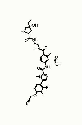 CC[C@]1(O)CN[C@@H](C(=O)NCCNC(=O)c2ccc(NC(=O)c3ncc(-c4ccc(OCC#N)c(F)c4F)n3C)cc2C)C1.O=CO